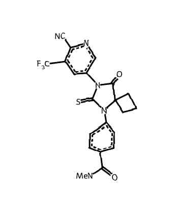 CNC(=O)c1ccc(N2C(=S)N(c3cnc(C#N)c(C(F)(F)F)c3)C(=O)C23CCC3)cc1